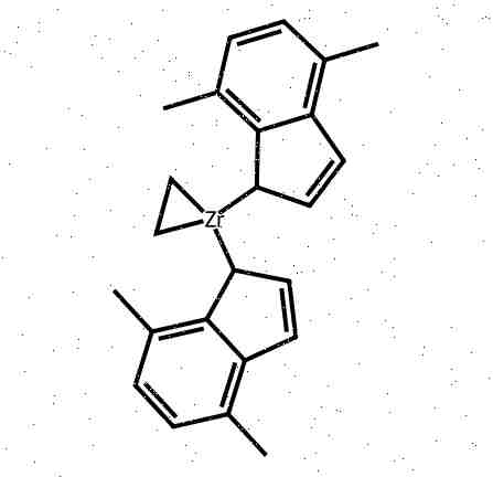 Cc1ccc(C)c2c1C=C[CH]2[Zr]1([CH]2C=Cc3c(C)ccc(C)c32)[CH2][CH2]1